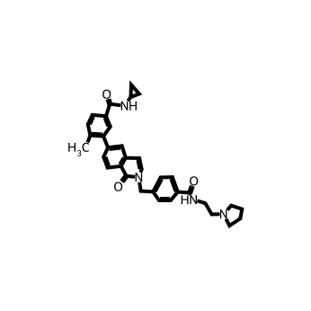 Cc1ccc(C(=O)NC2CC2)cc1-c1ccc2c(=O)n(Cc3ccc(C(=O)NCCN4CCCC4)cc3)ccc2c1